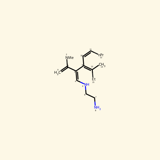 C=C(NC)C(=C/NCCN)/C(/C=C\CCC)=C(/C)CC